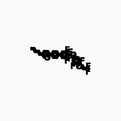 CCCCCC1CCC(c2ccc(-c3cc(F)c(C(F)(F)Oc4cc(F)c(O/C=C/C(F)F)c(F)c4)c(F)c3)cc2)OC1